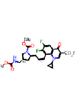 CCOC(=O)c1cn(C2CC2)c2c(/C=C\CC3C[C@@H](CNC(=O)OC(C)(C)C)CN3C(=O)OC(C)(C)C)c(F)c(F)cc2c1=O